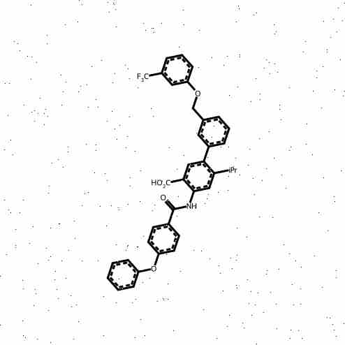 CC(C)c1cc(NC(=O)c2ccc(Oc3ccccc3)cc2)c(C(=O)O)cc1-c1cccc(COc2cccc(C(F)(F)F)c2)c1